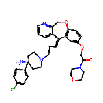 NC1(c2ccc(Cl)cc2)CCN(CCC=C2c3cc(OCC(=O)N4CCOCC4)ccc3OCc3ncccc32)CC1